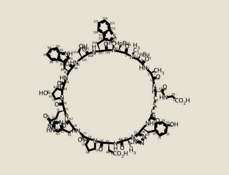 CCCC[C@H]1C(=O)N(C)[C@@H](CCCC)C(=O)N[C@@H](C)C(=O)N[C@H](C(=O)NCC(=O)O)CSCC(=O)N[C@@H](Cc2ccc(O)cc2)c2nnnn2[C@@H](C)C(=O)N[C@@H](CC(=O)O)C(=O)N2CCC[C@H]2C(=O)N[C@@H](Cc2c[nH]cn2)C(=O)N[C@@H](CCC(N)=O)C(=O)N2C[C@H](O)C[C@H]2C(=O)N[C@@H](Cc2c[nH]c3ccccc23)C(=O)N[C@@H](CO)C(=O)N[C@@H](Cc2csc3ccccc23)C(=O)N1C